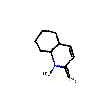 C=C1C=CC2CCCCC2N1C(C)(C)C